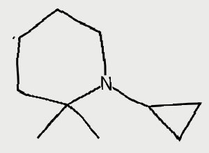 CC1(C)C[CH]CCN1C1CC1